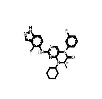 C[C@@H]1C(=O)N(c2cccc(F)c2)c2cnc(Nc3ccc4[nH]ncc4c3F)nc2N1C1CCCCC1